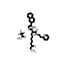 CCC(=O)CCCCCC(C(=O)NCCc1ccccn1)c1ncc(-c2ccc3ccccc3c2)[nH]1.O=C(O)C(F)(F)F